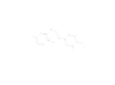 Fc1cc2c(cn1)CN(c1cc(Cl)c(C(F)(F)F)cn1)CC2